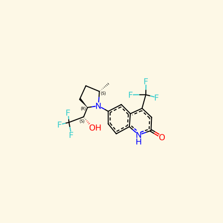 C[C@H]1CC[C@H]([C@H](O)C(F)(F)F)N1c1ccc2[nH]c(=O)cc(C(F)(F)F)c2c1